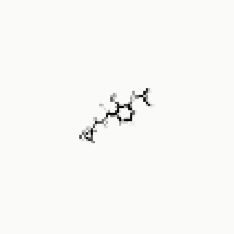 CC(C)Oc1cccc([C@@H](C)OC[C@H]2CO2)c1Br